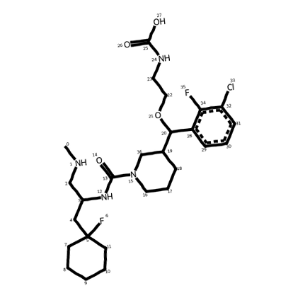 CNCC(CC1(F)CCCCC1)NC(=O)N1CCCC(C(OCCNC(=O)O)c2cccc(Cl)c2F)C1